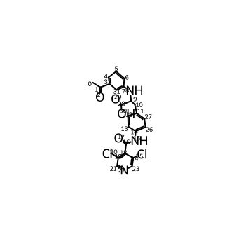 CC(=O)c1cccc(NC(Cc2ccc(NC(=O)c3c(Cl)cncc3Cl)cc2)C(=O)O)c1